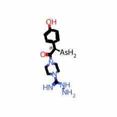 N=C(NN)N1CCN(C(=O)[C@H]([AsH2])c2ccc(O)cc2)CC1